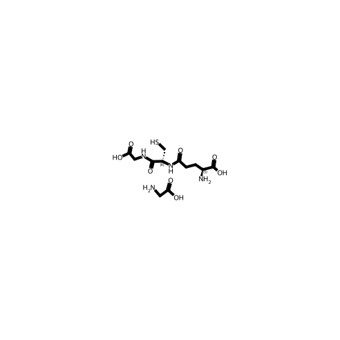 NCC(=O)O.N[C@@H](CCC(=O)N[C@@H](CS)C(=O)NCC(=O)O)C(=O)O